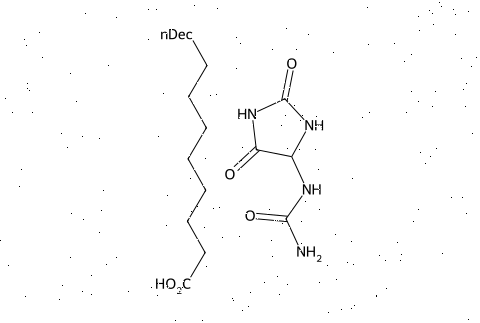 CCCCCCCCCCCCCCCCCC(=O)O.NC(=O)NC1NC(=O)NC1=O